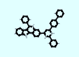 c1ccc(-c2ccc(-c3cc(-c4ccc5c(c4)nc(-c4ccccc4)c4c6ccccc6oc54)nc(-c4ccccc4)n3)cc2)cc1